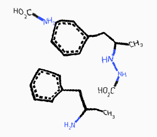 CC(Cc1ccccc1)NNC(=O)O.CC(N)Cc1ccccc1.NC(=O)O